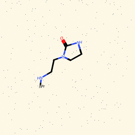 CCCNCCN1CCNC1=O